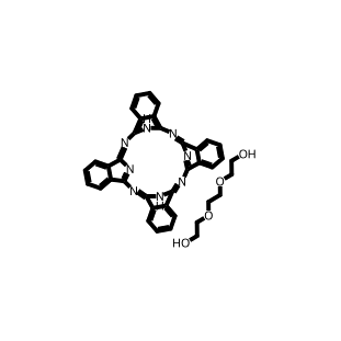 OCCOCCOCCO.c1ccc2c(c1)-c1nc-2nc2[nH]c(nc3nc(nc4[nH]c(n1)c1ccccc41)-c1ccccc1-3)c1ccccc21